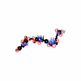 COc1ccc(C2=CN3C(=O)c4cc(OC)c(OCCCOc5cc6c(cc5OC)C(=O)N5C=C(c7ccc(NC(=O)C(C)NC(=O)C(NC(=O)CCCCCN8C(=O)C=C(Br)C8=O)C(C)C)cc7)C[C@H]5C=N6)cc4N=CC3C2)cc1